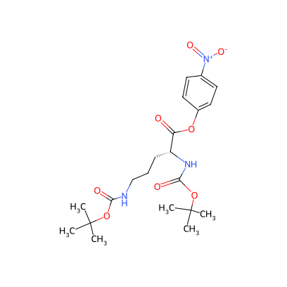 CC(C)(C)OC(=O)NCCC[C@@H](NC(=O)OC(C)(C)C)C(=O)Oc1ccc([N+](=O)[O-])cc1